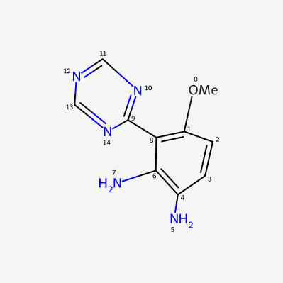 COc1ccc(N)c(N)c1-c1ncncn1